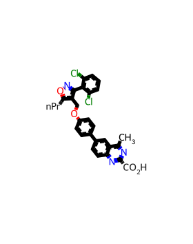 CCCc1onc(-c2c(Cl)cccc2Cl)c1COc1ccc(-c2ccc3nc(C(=O)O)nc(C)c3c2)cc1